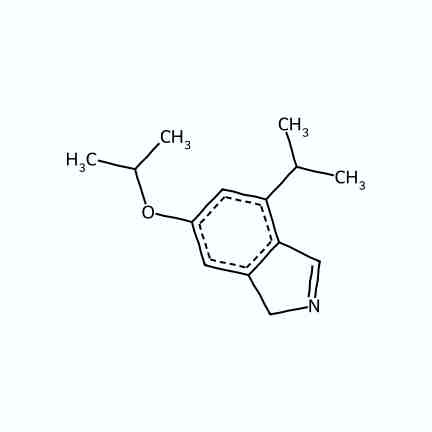 CC(C)Oc1cc2c(c(C(C)C)c1)C=NC2